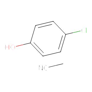 CC#N.Oc1ccc(Cl)cc1